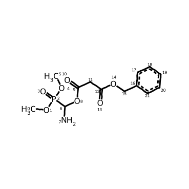 COP(=O)(OC)C(N)OC(=O)CC(=O)OCc1ccccc1